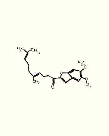 CC(C)=CCC/C(C)=C/CCC(=O)c1cc2cc(OC(F)(F)F)c(OC(F)(F)F)cc2o1